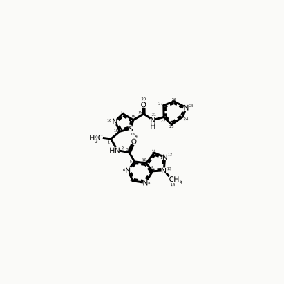 CC(NC(=O)c1ncnc2c1cnn2C)c1ncc(C(=O)Nc2ccncc2)s1